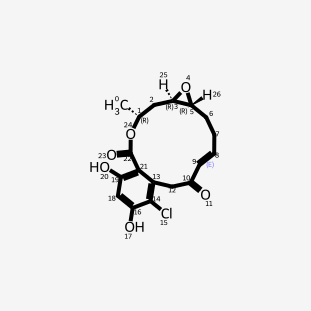 C[C@@H]1C[C@H]2O[C@@H]2CC/C=C/C(=O)Cc2c(Cl)c(O)cc(O)c2C(=O)O1